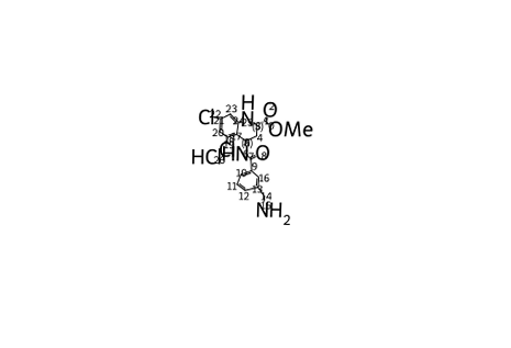 COC(=O)[C@@H]1C[C@@H](NC(=O)c2cccc(CN)c2)c2c(Cl)cc(Cl)cc2N1.Cl